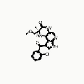 COC[C@]1(C)Nc2c(cnc3[nH]cc(C(=O)c4ccccc4Cl)c23)NC1=O